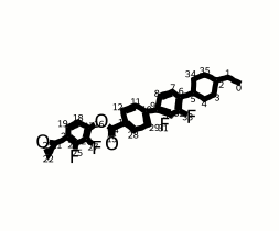 CCC1CCC(c2ccc(-c3ccc(C(=O)Oc4ccc(C5CO5)c(F)c4F)cc3)c(F)c2F)CC1